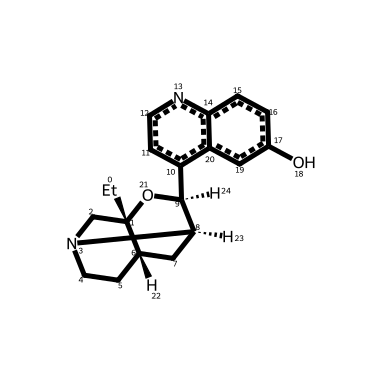 CC[C@]12CN3CC[C@H]1C[C@@H]3[C@H](c1ccnc3ccc(O)cc13)O2